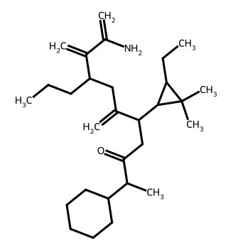 C=C(N)C(=C)C(CCC)CC(=C)C(CC(=O)C(C)C1CCCCC1)C1C(CC)C1(C)C